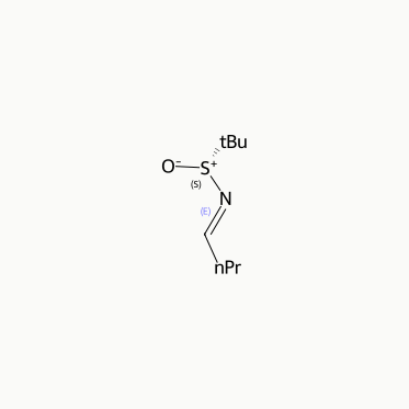 CCC/C=N/[S@+]([O-])C(C)(C)C